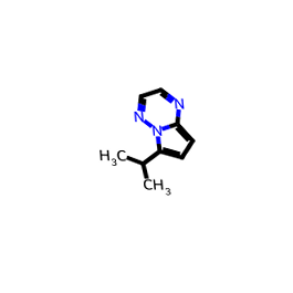 CC(C)c1ccc2nccnn12